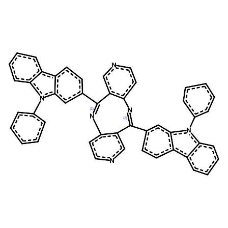 c1ccc(-n2c3ccccc3c3ccc(/C4=N/c5ccncc5/C(c5ccc6c7ccccc7n(-c7ccccc7)c6c5)=N\c5ccncc54)cc32)cc1